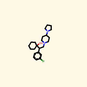 OC1(C(CN2CCC(N3CCCC3)CC2)c2cccc(Br)c2)CCCCC1